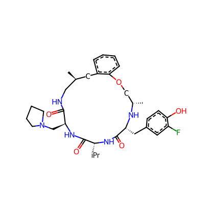 CC(C)[C@H]1NC(=O)[C@@H](Cc2ccc(O)c(F)c2)N[C@@H](C)COc2ccccc2C[C@H](C)CNC(=O)[C@H](CN2CCCC2)NC1=O